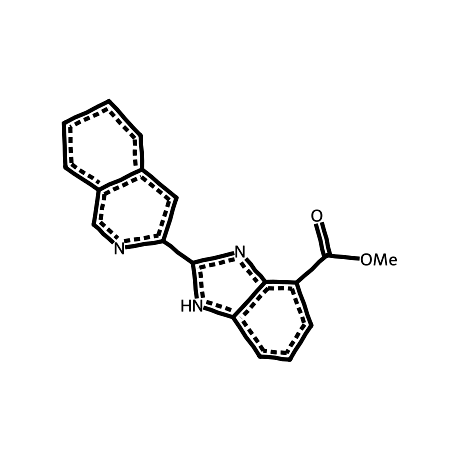 COC(=O)c1cccc2[nH]c(-c3cc4ccccc4cn3)nc12